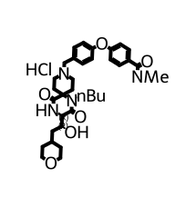 CCCCN1C(=O)[C@@H]([C@H](O)CC2CCOCC2)NC(=O)C12CCN(Cc1ccc(Oc3ccc(C(=O)NC)cc3)cc1)CC2.Cl